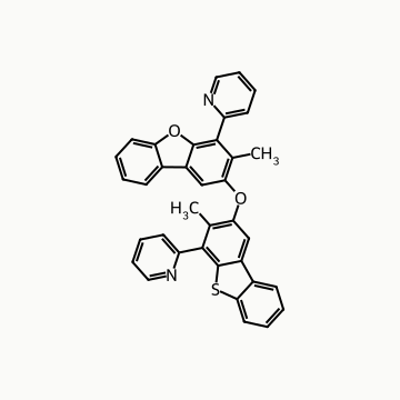 Cc1c(Oc2cc3c(sc4ccccc43)c(-c3ccccn3)c2C)cc2c(oc3ccccc32)c1-c1ccccn1